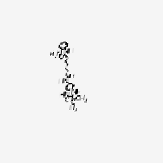 CC(C)C1Nc2ccc(NC(=O)CCCCCCC(=O)Nc3ccccc3N)cc2NC1=O